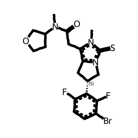 CN(C(=O)Cc1c2n(c(=S)n1C)C[C@H](c1c(F)ccc(Br)c1F)C2)C1CCOC1